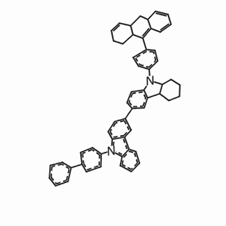 C1=CC2=C(c3ccc(N4c5ccc(-c6ccc7c(c6)c6ccccc6n7-c6ccc(-c7ccccc7)cc6)cc5C5CCCCC54)cc3)C3CCC=CC3CC2C=C1